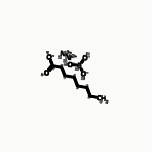 CCCCCCCC(=O)[O-].[Ni+2].[Ni+2].[O-]B([O-])[O-]